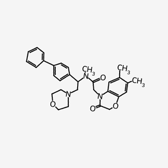 Cc1cc2c(cc1C)N(CC(=O)N(C)C(CN1CCOCC1)c1ccc(-c3ccccc3)cc1)C(=O)CO2